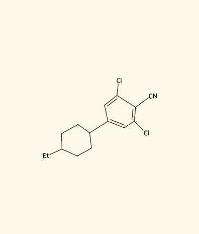 CCC1CCC(c2cc(Cl)c(C#N)c(Cl)c2)CC1